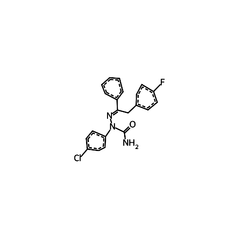 NC(=O)N(/N=C(\Cc1ccc(F)cc1)c1ccccc1)c1ccc(Cl)cc1